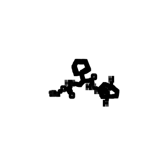 CN1[C@@H]2CC[C@H]1C[C@H](NC(=O)C(CNC(=O)OC(C)(C)C)c1ccccc1)C2